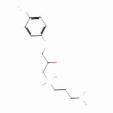 CCC[S+]([O-])CCC[N+](CC)(CC)CC(O)COc1ccc(C#N)cc1.[I-]